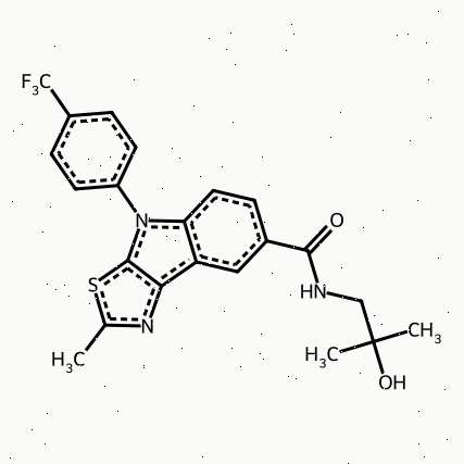 Cc1nc2c3cc(C(=O)NCC(C)(C)O)ccc3n(-c3ccc(C(F)(F)F)cc3)c2s1